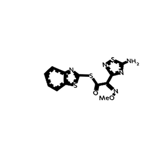 CO/N=C(\C(=O)Sc1nc2ccccc2s1)c1nsc(N)n1